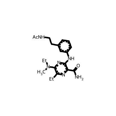 [CH2]C(=O)NCCc1cccc(Nc2nc(N(C)CC)c(CC)nc2C(N)=O)c1